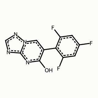 Oc1nc2ncnn2cc1-c1c(F)cc(F)cc1F